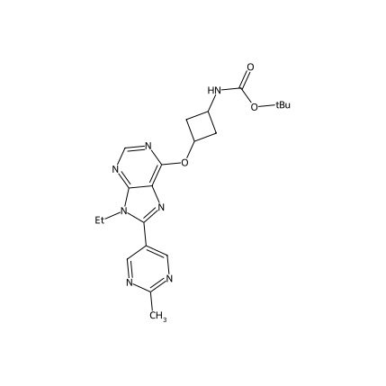 CCn1c(-c2cnc(C)nc2)nc2c(OC3CC(NC(=O)OC(C)(C)C)C3)ncnc21